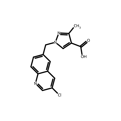 Cc1nn(Cc2ccc3ncc(Cl)cc3c2)cc1C(=O)O